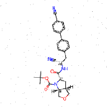 CC(C)(C)OC(=O)N1[C@H](C(=O)N[C@H](C#N)Cc2ccc(-c3ccc(C#N)cc3)cc2)C[C@@H]2COC[C@@H]21